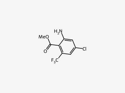 COC(=O)c1c(N)cc(Cl)cc1C(F)(F)F